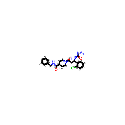 NC(=O)NC(CC(=O)N1CCC([C@@H](O)NCc2ccccc2)CC1)c1ccccc1Cl